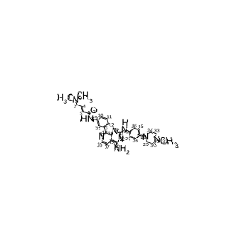 CN(C)CC=CC(=O)Nc1cccc(-c2nccc3c(N)nc(Nc4ccc(N5CCN(C)CC5)cc4)nc23)c1